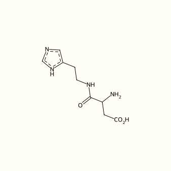 NC(CC(=O)O)C(=O)NCCc1cnc[nH]1